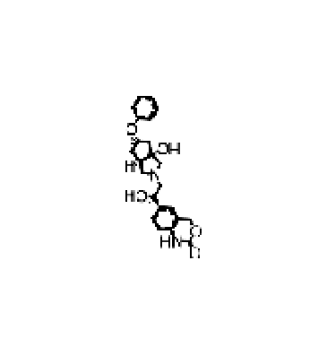 O=C1Nc2ccc([C@H](O)CN3C[C@H]4C[C@H](Oc5ccccc5)C[C@@]4(O)C3)cc2CO1